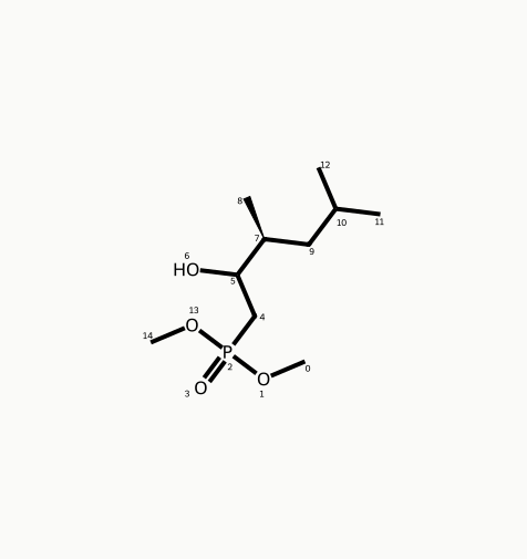 COP(=O)(CC(O)[C@@H](C)CC(C)C)OC